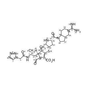 C[C@@H](NC(=O)Cn1cnnn1)[C@H]1C(=O)N2C(C(=O)O)=C(S[C@@H]3CN[C@H](C(=O)N4CCC5CN(C(=N)N)CCC54)C3)[C@H](C)[C@H]12